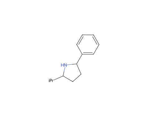 CC(C)C1CCC(c2ccccc2)N1